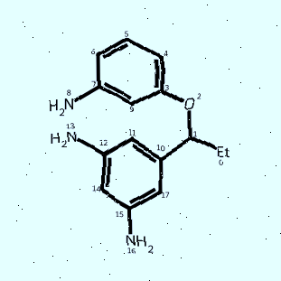 CCC(Oc1cccc(N)c1)c1cc(N)cc(N)c1